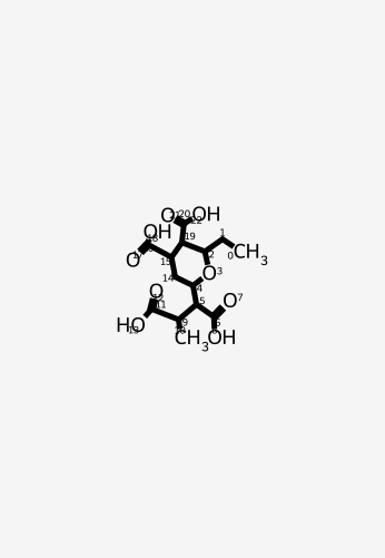 CCC1OC(C(C(=O)O)C(C)C(=O)O)CC(C(=O)O)C1C(=O)O